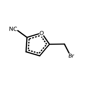 N#Cc1ccc(CBr)o1